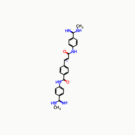 CNC(=N)c1ccc(NC(=O)/C=C/c2ccc(C(=O)Nc3ccc(C(=N)NC)cc3)cc2)cc1